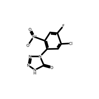 O=c1[nH]nnn1-c1cc(Cl)c(F)cc1[N+](=O)[O-]